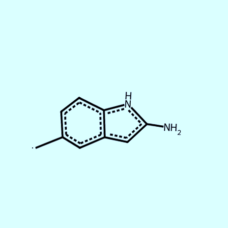 [CH2]c1ccc2[nH]c(N)cc2c1